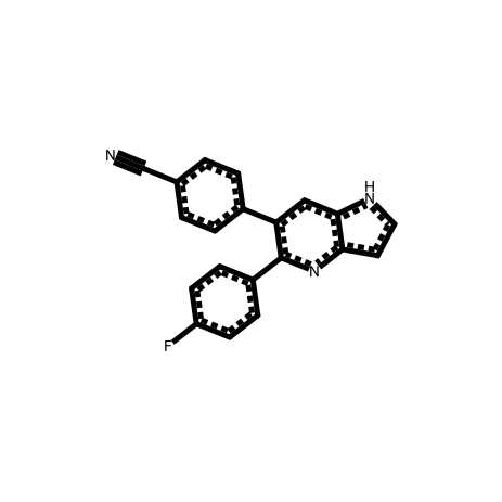 N#Cc1ccc(-c2cc3[nH]ccc3nc2-c2ccc(F)cc2)cc1